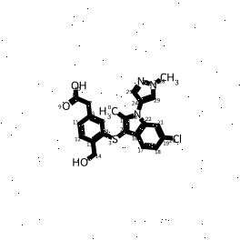 Cc1c(Sc2cc(CC(=O)O)ccc2CO)c2ccc(Cl)cc2n1-c1cnn(C)c1